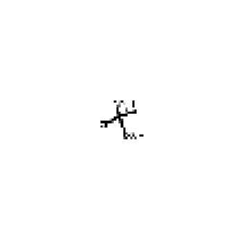 CC(Cl)(S(=O)(=O)O)S(=O)(=O)O